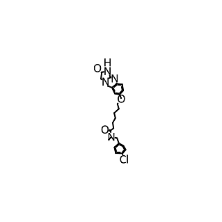 CN(Cc1ccc(Cl)cc1)C(=O)CCCCCCOc1ccc2c(c1)CN1CC(=O)NC1=N2